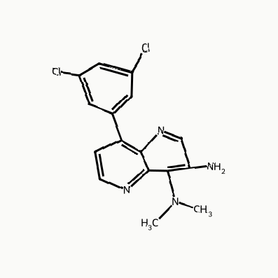 CN(C)c1c(N)cnc2c(-c3cc(Cl)cc(Cl)c3)ccnc12